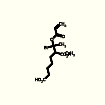 [CH2]CC(C)(OC(=O)C=C)C(CCCCC(=O)O)C(=O)O.[CaH2]